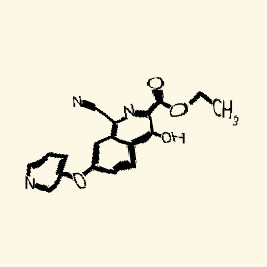 CCOC(=O)c1nc(C#N)c2cc(Oc3cccnc3)ccc2c1O